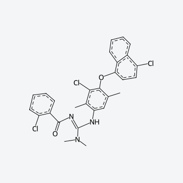 Cc1cc(NC(=NC(=O)c2ccccc2Cl)N(C)C)c(C)c(Cl)c1Oc1ccc(Cl)c2ccccc12